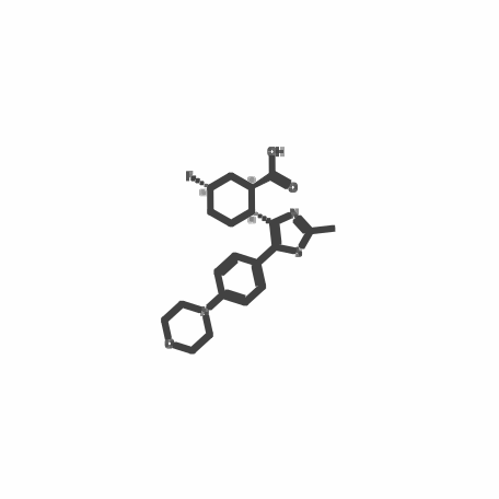 Cc1nc([C@@H]2CC[C@H](F)C[C@H]2C(=O)O)c(-c2ccc(N3CCOCC3)cc2)s1